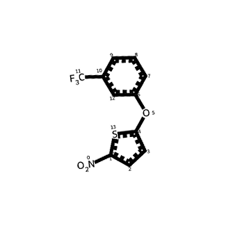 O=[N+]([O-])c1ccc(Oc2cccc(C(F)(F)F)c2)s1